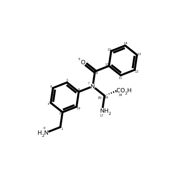 NCc1cccc(N(C(=O)c2ccccc2)[C@@H](N)C(=O)O)c1